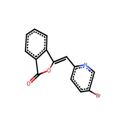 O=C1OC(=Cc2ccc(Br)cn2)c2ccccc21